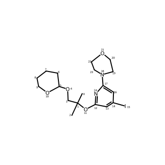 CC(C)(COC1CCCCO1)Oc1cc(I)cc(N2CCOCC2)n1